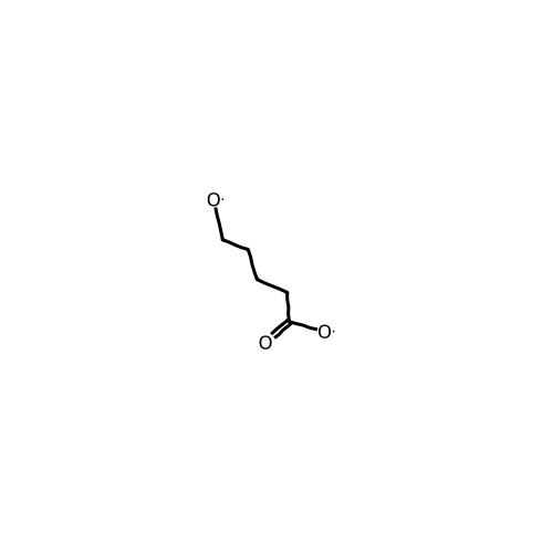 [O]CCCCC([O])=O